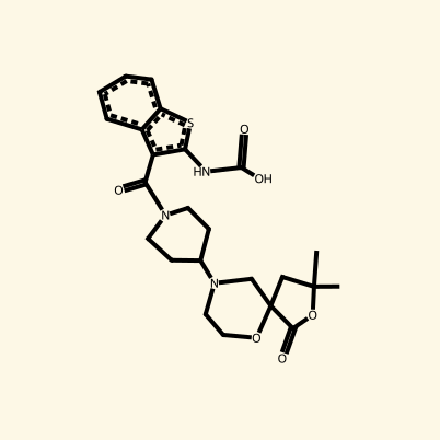 CC1(C)CC2(CN(C3CCN(C(=O)c4c(NC(=O)O)sc5ccccc45)CC3)CCO2)C(=O)O1